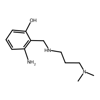 CN(C)CCCNCc1c(N)cccc1O